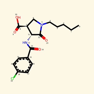 CCCCCN1C[C@H](C(=O)O)[C@@H](NC(=O)c2ccc(Cl)cc2)C1=O